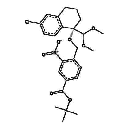 COC(OC)[C@]1(OCc2ccc(C(=O)OC(C)(C)C)cc2[N+](=O)[O-])CCCc2cc(Cl)ccc21